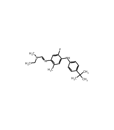 CCN(C)C=Nc1cc(F)c(Nc2ccc(C(C)(C)C)cc2)cc1C